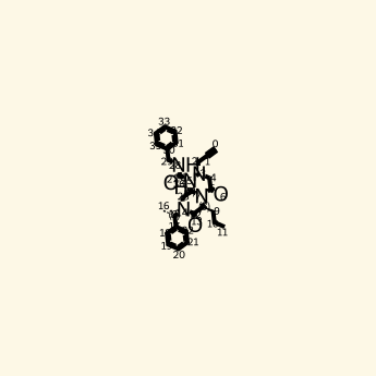 C#CCN1CC(=O)N2[C@@H](CCC)C(=O)N([C@@H](C)c3ccccc3)C[C@@H]2N1C(=O)NCc1ccccc1